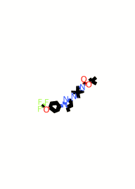 Cc1cc(N2CC3(CN(C(=O)OC(C)(C)C)C3)C2)nn1-c1ccc(OC(F)(F)F)cc1